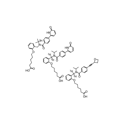 [2H]C(C)(C)N(Cc1ccccc1OCCCCCC(=O)O)C(=O)c1ccc(-c2cccc(=O)[nH]2)cc1.[2H]C([2H])(c1ccccc1OCCCCCC(=O)O)N(C(=O)c1ccc(-c2cccc(=O)[nH]2)cc1)C(C)C.[2H]C([2H])(c1ccccc1OCCCCCC(=O)O)N(C(=O)c1ccc(C#CC2CCO2)cc1)C(C)C